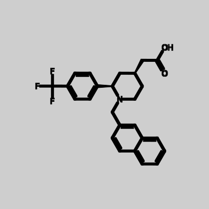 O=C(O)C[C@H]1CCN(Cc2ccc3ccccc3c2)[C@@H](c2ccc(C(F)(F)F)cc2)C1